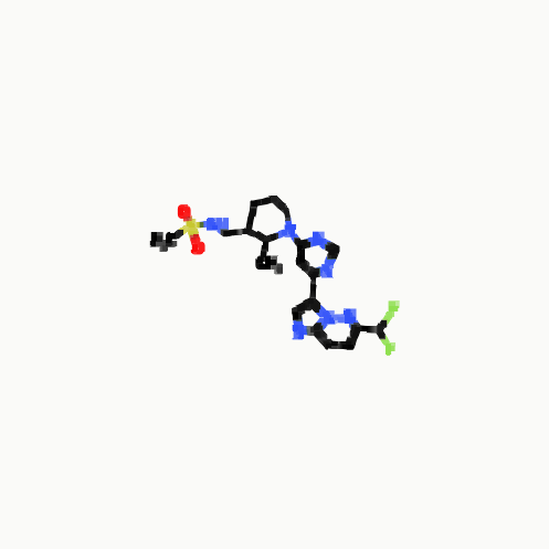 CC1C(CNS(C)(=O)=O)CCCN1c1cc(-c2cnc3ccc(C(F)F)nn23)ncn1